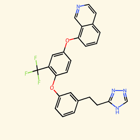 FC(F)(F)c1cc(Oc2cccc3ccncc23)ccc1Oc1cccc(CCc2nnc[nH]2)c1